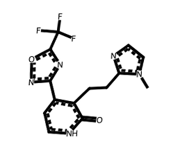 Cn1ccnc1CCc1c(-c2noc(C(F)(F)F)n2)cc[nH]c1=O